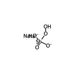 [Na+].[Na+].[O]=[Sb]([O-])([O-])[O]O